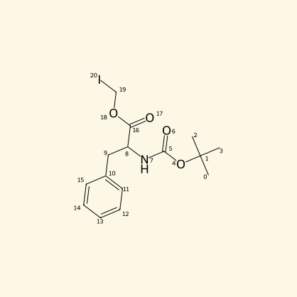 CC(C)(C)OC(=O)NC(Cc1ccccc1)C(=O)OCI